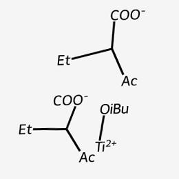 CC(C)C[O][Ti+2].CCC(C(C)=O)C(=O)[O-].CCC(C(C)=O)C(=O)[O-]